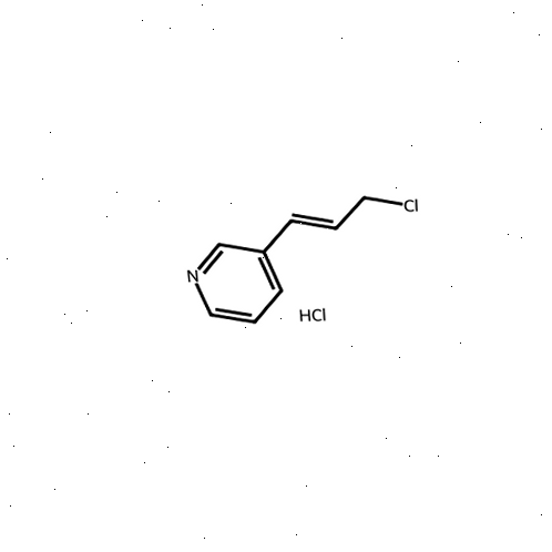 Cl.ClCC=Cc1cccnc1